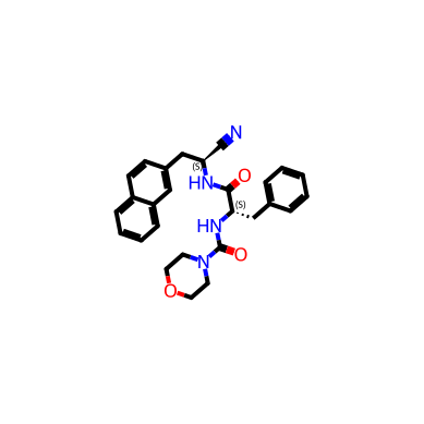 N#C[C@H](Cc1ccc2ccccc2c1)NC(=O)[C@H](Cc1ccccc1)NC(=O)N1CCOCC1